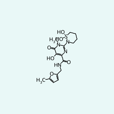 Cc1ccc(CNC(=O)c2nc(N3CCCCS3(O)O)n(C)c(=O)c2O)o1